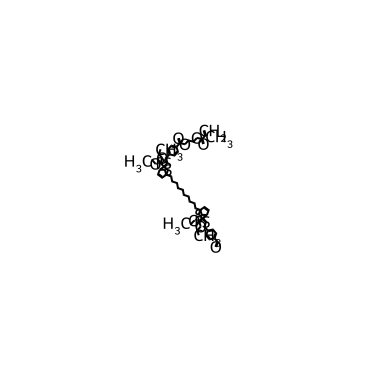 C=C(C)C(=O)OCCOC(=O)c1ccc(CSC2(P(OCC)OCC)SC3(CCCCCCCCCCC45C=CC(C4)C(SCc4ccc(C=O)cc4)(P(OCC)OCC)S5)C=CC2C3)cc1